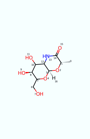 C[C@@H]1O[C@H]2OC(CO)[C@@H](O)C(O)C2NC1=O